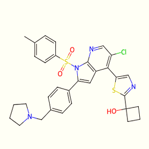 Cc1ccc(S(=O)(=O)n2c(-c3ccc(CN4CCCC4)cc3)cc3c(-c4cnc(C5(O)CCC5)s4)c(Cl)cnc32)cc1